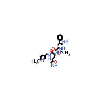 CC(=O)N[C@@H](Cc1c[nH]c2ccccc12)C(=O)N[C@@H](CCC(=O)C=N)C(=O)NCc1ccc(C)nc1